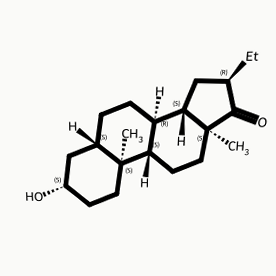 CC[C@@H]1C[C@H]2[C@@H]3CC[C@H]4C[C@@H](O)CC[C@]4(C)[C@H]3CC[C@]2(C)C1=O